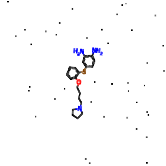 Nc1ccc(Sc2ccccc2OCCCCN2CCCC2)cc1N